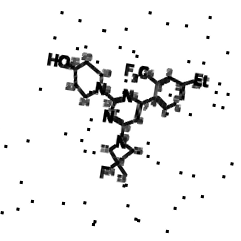 C=C(/C=C(\C(=C/C)c1cc(N2CC(C)(F)C2)nc(N2CCC(O)CC2)n1)C(F)(F)F)CC